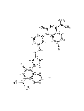 CN(C)c1nc(=O)n(-c2cccc(OCc3csc(-n4c(=O)nc(N(C)C)c5ccc(Cl)cc54)c3)c2)c2cc(Cl)ccc12